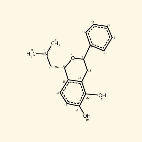 CN(C)C[C@@H]1OC(c2ccccc2)Cc2c1ccc(O)c2O